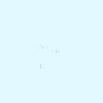 CC=C(CC)C(N)=O